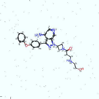 Nc1cncc2c1c(-c1ccc(Oc3ccccc3)cc1)nn2C1CN(C(=O)CCNCCO)C1